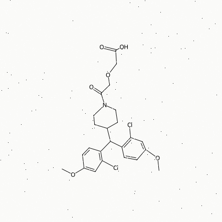 COc1ccc(C(c2ccc(OC)cc2Cl)C2CCN(C(=O)COCC(=O)O)CC2)c(Cl)c1